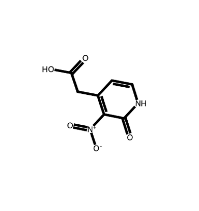 O=C(O)Cc1cc[nH]c(=O)c1[N+](=O)[O-]